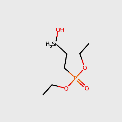 CCOP(=O)(CC[SiH2]O)OCC